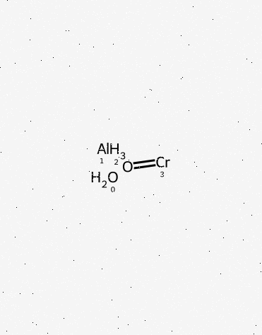 O.[AlH3].[O]=[Cr]